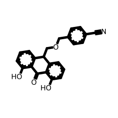 N#Cc1ccc(COCC2c3cccc(O)c3C(=O)c3c(O)cccc32)cc1